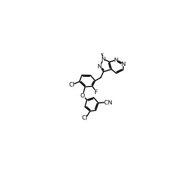 [CH2]n1nc(Cc2ccc(Cl)c(Oc3cc(Cl)cc(C#N)c3)c2F)c2ccnnc21